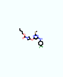 CCCCOC(=O)N1CC(Oc2cc(NC3CCC(F)(F)CC3)nc(SC)n2)C1